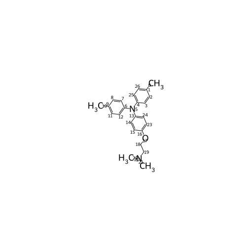 Cc1ccc(N(c2ccc(C)cc2)c2ccc(OCCN(C)C)cc2)cc1